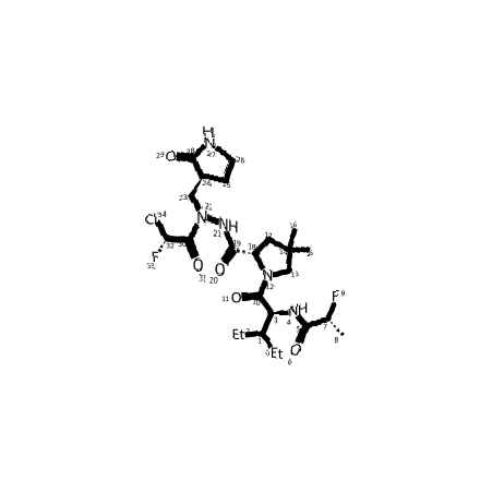 CCC(CC)[C@H](NC(=O)[C@@H](C)F)C(=O)N1CC(C)(C)C[C@H]1C(=O)NN(C[C@@H]1CCNC1=O)C(=O)[C@H](F)Cl